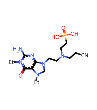 CCN1CN(CCN(CCC#N)CCP(=O)(O)O)c2nc(N)n(CC)c(=O)c21